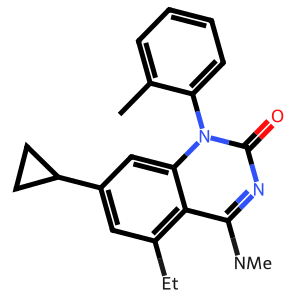 CCc1cc(C2CC2)cc2c1c(NC)nc(=O)n2-c1ccccc1C